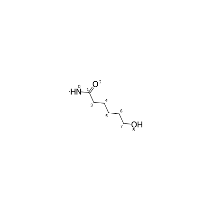 [NH]C(=O)CCCCCO